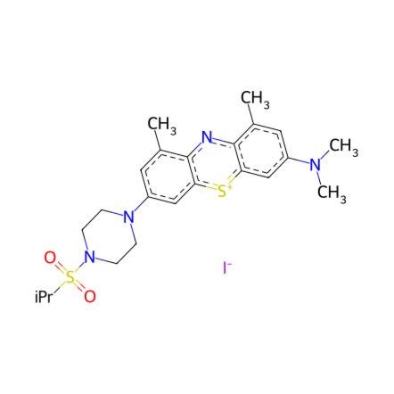 Cc1cc(N(C)C)cc2[s+]c3cc(N4CCN(S(=O)(=O)C(C)C)CC4)cc(C)c3nc12.[I-]